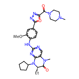 CC[C@@H]1C(=O)N(C)c2cnc(Nc3ccc(-c4nnc(C(=O)N5CCN(C)CC5)o4)cc3OC)nc2N1C1CCCC1